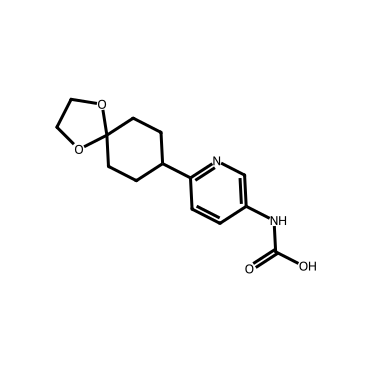 O=C(O)Nc1ccc(C2CCC3(CC2)OCCO3)nc1